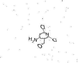 Nc1cc(Cl)nc(Cl)c1C=O